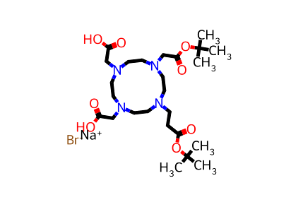 CC(C)(C)OC(=O)CCN1CCN(CC(=O)O)CCN(CC(=O)O)CCN(CC(=O)OC(C)(C)C)CC1.[Br-].[Na+]